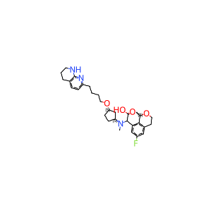 C[C@H]1OCCc2cc(F)cc(C(C(=O)O)N(C)[C@H]3CC[C@H](OCCCCc4ccc5c(n4)NCCC5)C3)c21